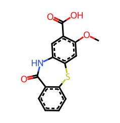 COc1cc2c(cc1C(=O)O)NC(=O)c1ccccc1S2